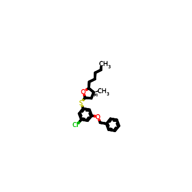 CCCCCC1OC(Sc2cc(Cl)cc(OCc3ccccc3)c2)C[C@H]1C